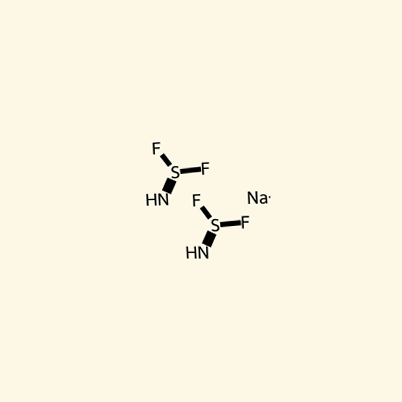 N=S(F)F.N=S(F)F.[Na]